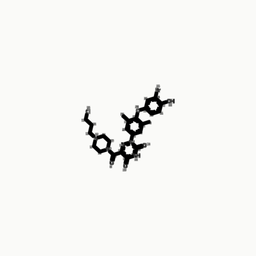 Cc1cc(-n2nc(C(=O)N3CCN(CCCCl)CC3)c(=O)[nH]c2=O)cc(C)c1Oc1ccc(O)c(Br)c1